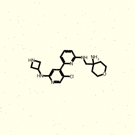 NC1(CNc2cccc(-c3cc(NC4CNC4)ncc3Cl)n2)CCOCC1